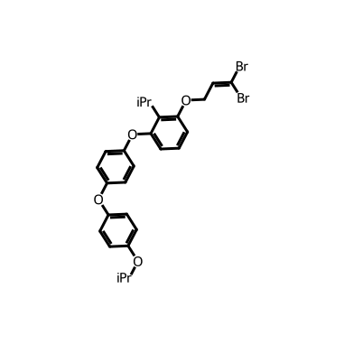 CC(C)Oc1ccc(Oc2ccc(Oc3cccc(OCC=C(Br)Br)c3C(C)C)cc2)cc1